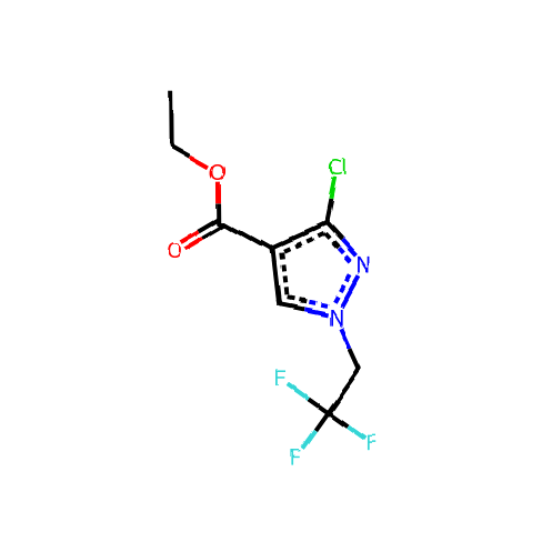 CCOC(=O)c1cn(CC(F)(F)F)nc1Cl